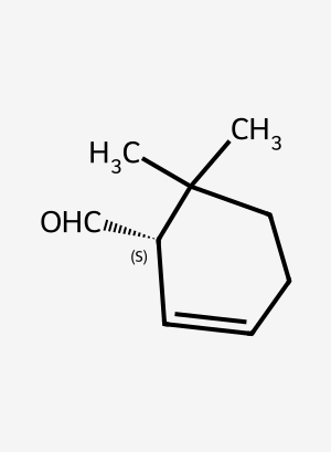 CC1(C)CCC=C[C@@H]1C=O